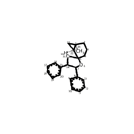 C[C@]12CCCC3(OC(c4ccccc4)C(c4ccccc4)O3)[C@H]1C2